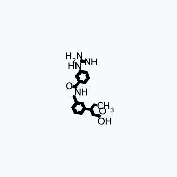 CC/C(=C\C(=O)O)c1cccc(CNC(=O)c2cccc(NC(=N)N)c2)c1